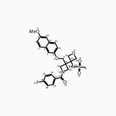 COc1ccc2cc(OCC3(C4(NS(C)(=O)=O)COC4)CN(C(=O)c4ccc(F)cc4)C3)ccc2c1